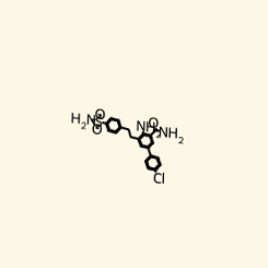 NC(=O)c1cc(-c2ccc(Cl)cc2)cc(CCc2ccc(S(N)(=O)=O)cc2)c1N